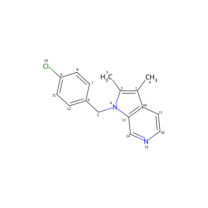 Cc1c(C)n(Cc2ccc(Cl)cc2)c2cnccc12